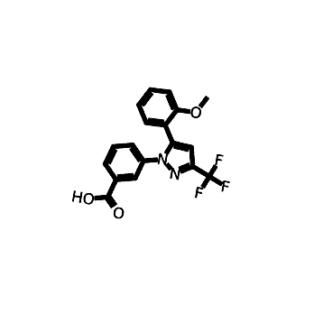 COc1ccccc1-c1cc(C(F)(F)F)nn1-c1cccc(C(=O)O)c1